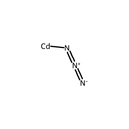 [N-]=[N+]=[N][Cd]